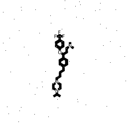 CC(C)N1CCN(CCCCc2ccc(C(CCN(C)C)Oc3ccc(C(F)(F)F)cc3)cc2)CC1